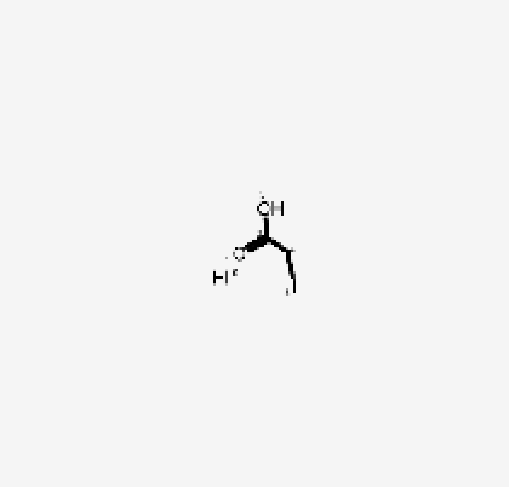 I.O=C(O)CI